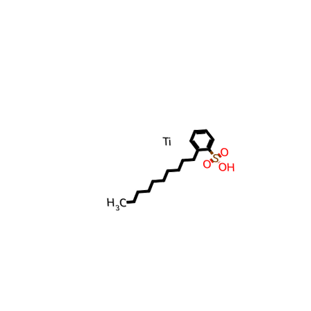 CCCCCCCCCCc1ccccc1S(=O)(=O)O.[Ti]